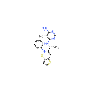 CC(Nc1ncnc(N)c1C#N)C1=Cc2sccc2SN1c1ccccc1